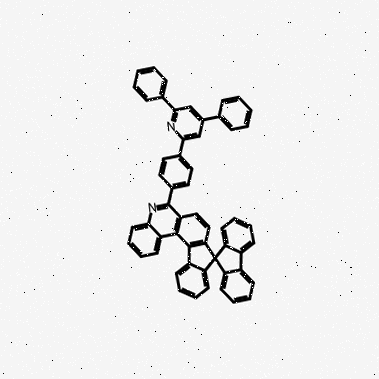 c1ccc(-c2cc(-c3ccccc3)nc(-c3ccc(-c4nc5ccccc5c5c6c(ccc45)C4(c5ccccc5-c5ccccc54)c4ccccc4-6)cc3)c2)cc1